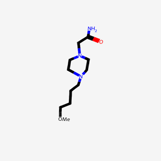 COCCCCN1CCN(CC(N)=O)CC1